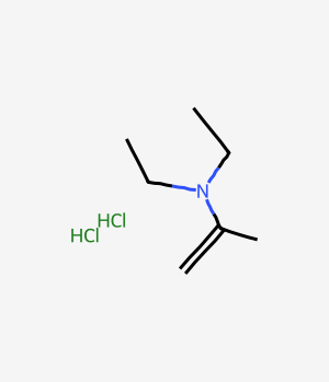 C=C(C)N(CC)CC.Cl.Cl